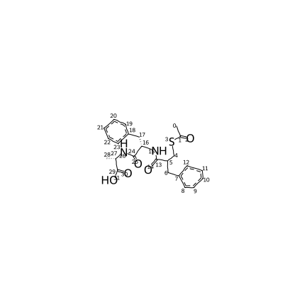 CC(=O)SCC(Cc1ccccc1)C(=O)N[C@@H](Cc1ccccc1)C(=O)N[C@@H](C)C(=O)O